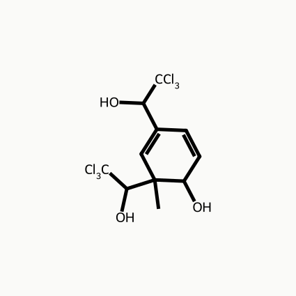 CC1(C(O)C(Cl)(Cl)Cl)C=C(C(O)C(Cl)(Cl)Cl)C=CC1O